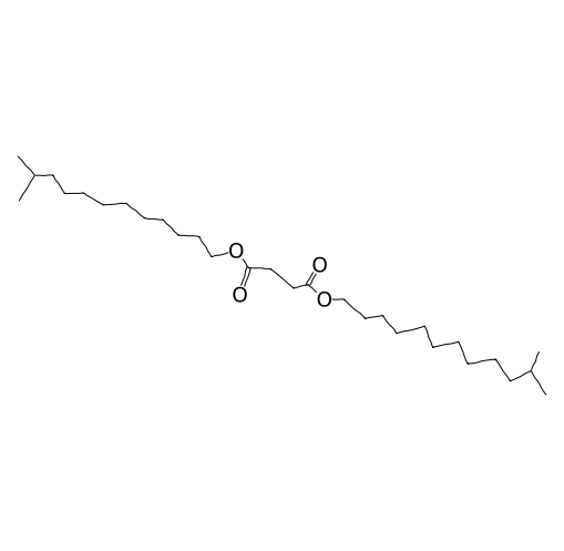 CC(C)CCCCCCCCCCOC(=O)CCC(=O)OCCCCCCCCCCC(C)C